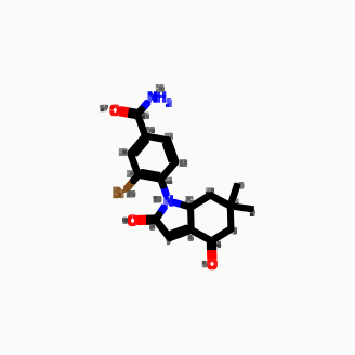 CC1(C)CC(=O)C2=CC(=O)N(c3ccc(C(N)=O)cc3Br)C2C1